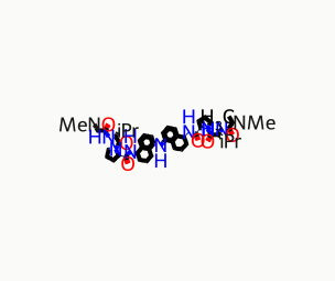 CNCC(=O)NC(C(=O)N1CCC[C@H]1C(=O)N[C@@H]1CCCc2c(Nc3cccc4c3CCC[C@H]4NC(=O)[C@@H]3CCCN3C(=O)[C@@H](NC(=O)[C@H](C)NC)C(C)C)cccc21)C(C)C